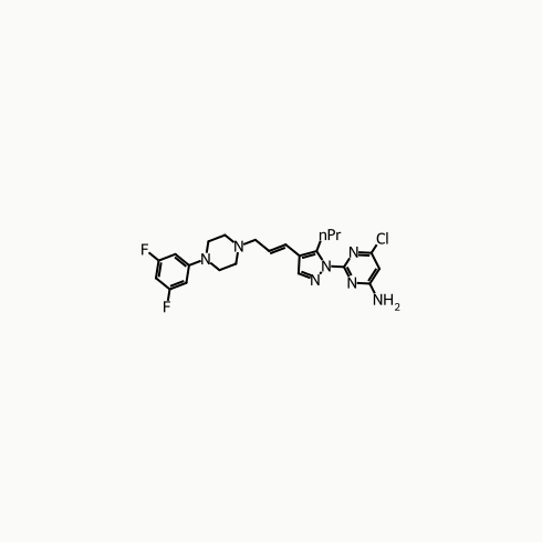 CCCc1c(C=CCN2CCN(c3cc(F)cc(F)c3)CC2)cnn1-c1nc(N)cc(Cl)n1